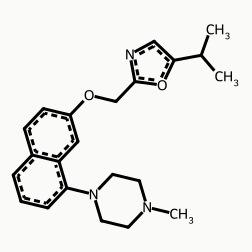 CC(C)c1cnc(COc2ccc3cccc(N4CCN(C)CC4)c3c2)o1